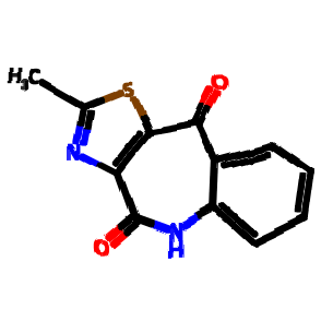 Cc1nc2c(=O)[nH]c3ccccc3c(=O)c2s1